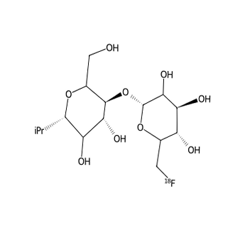 CC(C)[C@@H]1OC(CO)[C@@H](O[C@H]2OC(C[18F])[C@@H](O)[C@H](O)C2O)[C@H](O)C1O